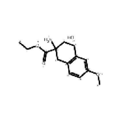 CCOC(=O)C1(N)CCc2cc(OC)ccc2C1.Cl